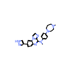 CN1CCCN(c2ccc(N(C)c3nc4ccc(-c5cn[nH]c5)cc4n4ccnc34)cc2)CC1